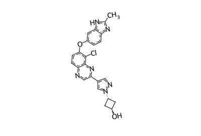 Cc1nc2ccc(Oc3ccc4ncc(-c5cnn([C@H]6C[C@H](O)C6)c5)nc4c3Cl)cc2[nH]1